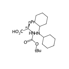 C1CCC(NC2CCCCC2)CC1.CCC[C@@H](NC(=O)OC(C)(C)C)C(=O)O